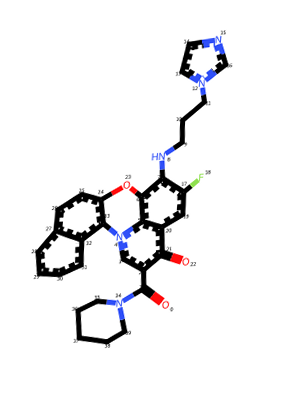 O=C(c1cn2c3c(c(NCCCn4ccnc4)c(F)cc3c1=O)Oc1ccc3ccccc3c1-2)N1CCCCC1